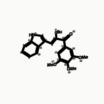 CCCC/C(=C\c1c[nH]c2ccccc12)C(=O)c1cc(OC)c(OC)c(OC)c1